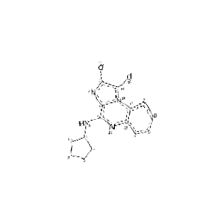 Clc1nc2c(NC3CCCC3)nc3ccccc3n2c1Cl